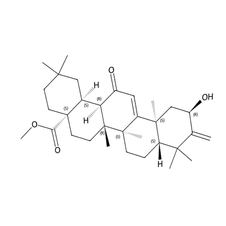 C=C1[C@H](O)C[C@]2(C)C3=CC(=O)[C@@H]4[C@@H]5CC(C)(C)CC[C@]5(C(=O)OC)CC[C@@]4(C)[C@]3(C)CC[C@H]2C1(C)C